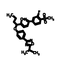 CCCC(Oc1ccc(-c2noc(C(C)C)n2)cc1)C1=C=CC(c2ccc(S(C)(=O)=O)c(F)c2)=NO1